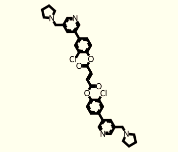 O=C(/C=C/C(=O)Oc1ccc(-c2cncc(CN3CCCC3)c2)cc1Cl)Oc1ccc(-c2cncc(CN3CCCC3)c2)cc1Cl